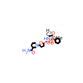 COC(=O)[C@H](C)NP(=O)(OC[C@@H]1CC[C@H](N2C=CCC(C(N)=O)=C2)O1)Oc1ccccc1